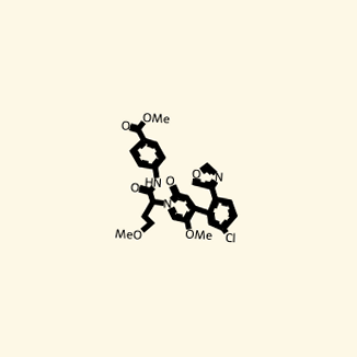 COCCC(C(=O)Nc1ccc(C(=O)OC)cc1)n1cc(OC)c(-c2cc(Cl)ccc2-c2cocn2)cc1=O